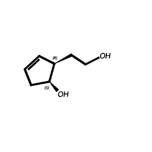 OCC[C@@H]1C=CC[C@@H]1O